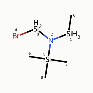 C[SiH2]N([SiH2]Br)[Si](C)(C)C